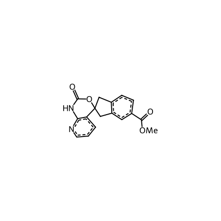 COC(=O)c1ccc2c(c1)CC1(C2)OC(=O)Nc2ncccc21